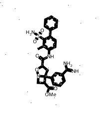 COC(=O)C1CN2OC(C(=O)Nc3ccc(-c4ccccc4)c(S(N)(=O)=O)c3C)CC12c1cccc(C(=N)N)c1